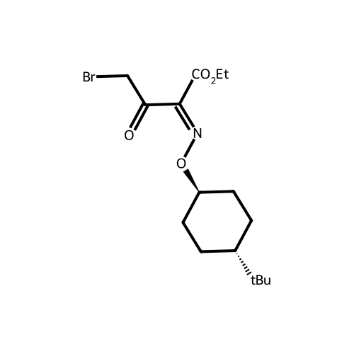 CCOC(=O)C(=NO[C@H]1CC[C@H](C(C)(C)C)CC1)C(=O)CBr